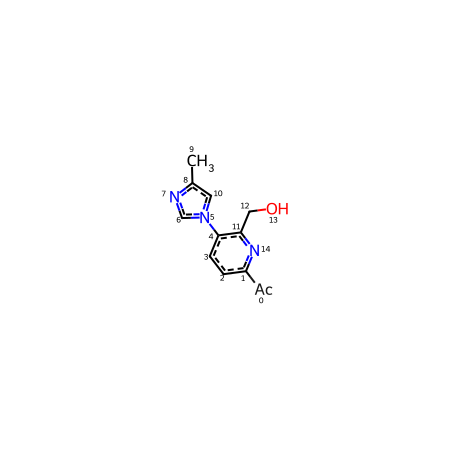 CC(=O)c1ccc(-n2cnc(C)c2)c(CO)n1